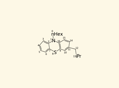 CCCCCCN1c2ccccc2Sc2cc(CC(C)C)ccc21